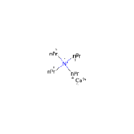 CCC[N+](CCC)(CCC)CCC.[Ca+2]